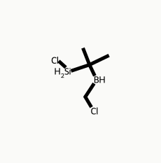 CC(C)(BCCl)[SiH2]Cl